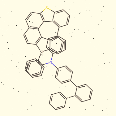 c1ccc(-c2ccccc2-c2ccc(N(c3ccccc3)c3ccc(-c4cccc5sc6ccc7ccc8c(c7c6c45)-c4ccccc4[SiH]8c4ccccc4)cc3)cc2)cc1